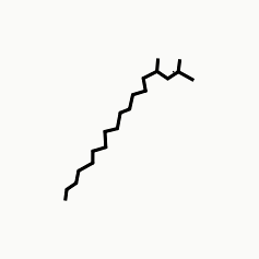 CCCCCCCCCCCCCCC(C)C[C](C)C